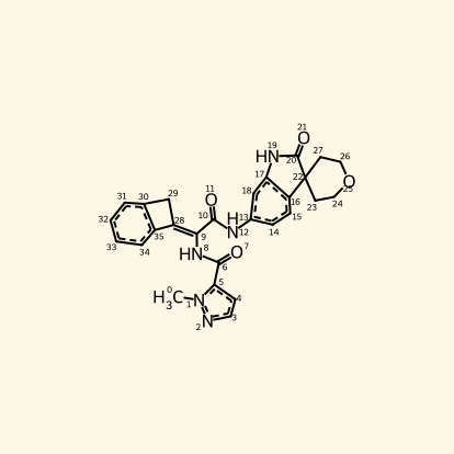 Cn1nccc1C(=O)NC(C(=O)Nc1ccc2c(c1)NC(=O)C21CCOCC1)=C1Cc2ccccc21